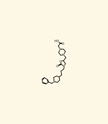 O=C(O)CN1CCN(CC2CN(CCCC3CCN(Cc4ccccc4)CC3)C(=O)O2)CC1